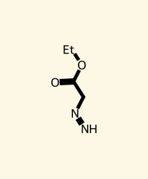 CCOC(=O)CN=N